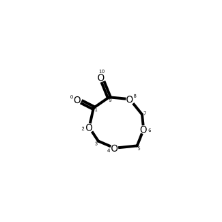 O=C1OCOCOCOC1=O